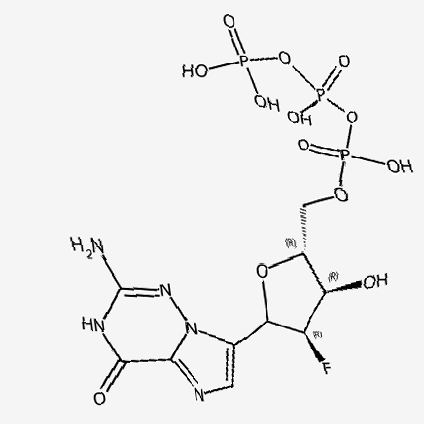 Nc1nn2c(C3O[C@H](COP(=O)(O)OP(=O)(O)OP(=O)(O)O)[C@@H](O)[C@H]3F)cnc2c(=O)[nH]1